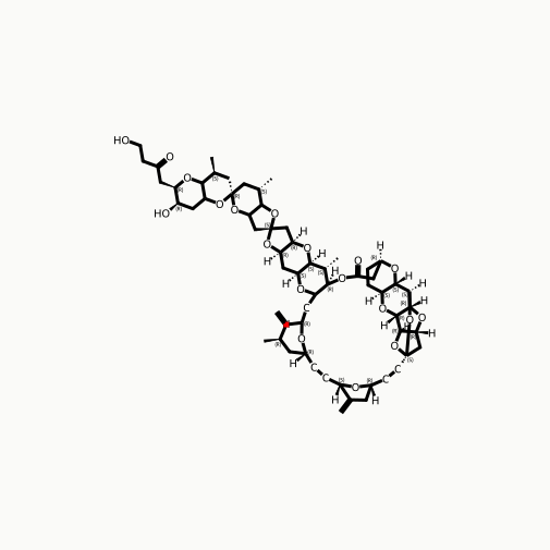 C=C1C[C@H]2CC[C@@]34C[C@H]5O[C@H]6[C@@H](O3)[C@H]3O[C@H](CC[C@@H]3O[C@H]6[C@@H]5O4)CC(=O)O[C@H]3C(C[C@H]4O[C@H](CC[C@@H]1O2)C[C@@H](C)C4=C)O[C@H]1C[C@H]2O[C@@]4(CC5O[C@]6(C[C@H](C)C7O[C@H](CC(=O)CCO)[C@H](O)CC7O6)C[C@H](C)C5O4)C[C@H]2O[C@H]1[C@@H]3C